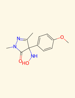 COc1ccc(C2(NO)C(=O)N(C)N=C2C)cc1